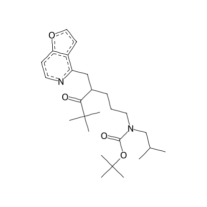 CC(C)CN(CCCC(Cc1nccc2occc12)C(=O)C(C)(C)C)C(=O)OC(C)(C)C